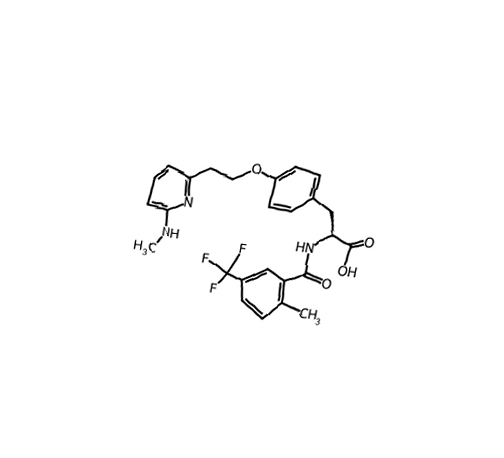 CNc1cccc(CCOc2ccc(C[C@H](NC(=O)c3cc(C(F)(F)F)ccc3C)C(=O)O)cc2)n1